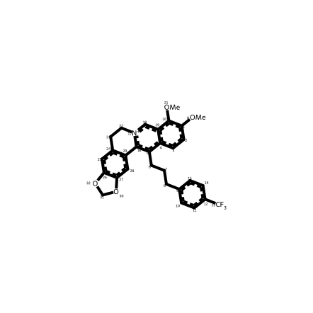 COc1ccc2c(CCCc3ccc(C(F)(F)F)cc3)c3[n+](cc2c1OC)CCc1cc2c(cc1-3)OCO2